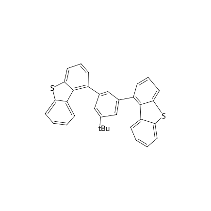 CC(C)(C)c1cc(-c2cccc3sc4ccccc4c23)cc(-c2cccc3sc4ccccc4c23)c1